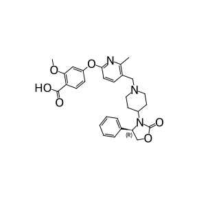 COc1cc(Oc2ccc(CN3CCC(N4C(=O)OC[C@H]4c4ccccc4)CC3)c(C)n2)ccc1C(=O)O